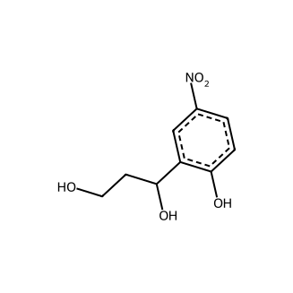 O=[N+]([O-])c1ccc(O)c(C(O)CCO)c1